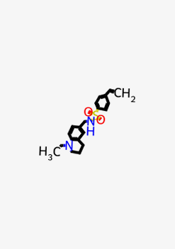 C=Cc1ccc(S(=O)(=O)NCc2ccc3c(c2)CCCN3CC)cc1